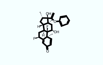 C=C(Oc1ccccc1)[C@@]1(O)[C@@H](C)C[C@H]2[C@@H]3C[C@H](F)C4=CC(=O)C=C[C@]4(C)[C@@]3(F)[C@@H](O)C[C@@]21C